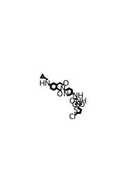 O=C(Nc1ccc(N2C(=O)Cc3cc(NCC4CC4)ccc3C2=O)nc1)NS(=O)(=O)c1ccc(Cl)s1